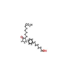 O=C(O)CCCCCC[C@@H]1C(=O)CC[C@H]1c1ccc(CCCCCCO)cc1